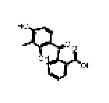 Cc1c(O)ccc(C(=O)c2ccccc2C(=O)O)c1O